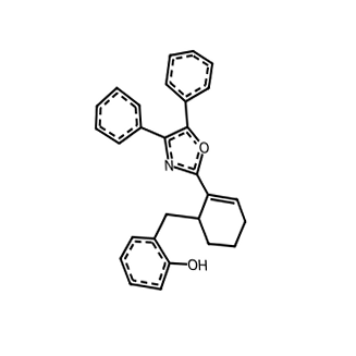 Oc1ccccc1CC1CCCC=C1c1nc(-c2ccccc2)c(-c2ccccc2)o1